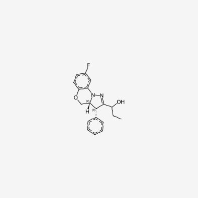 CCC(O)C1=NN2c3cc(F)ccc3OC[C@H]2[C@H]1c1ccccc1